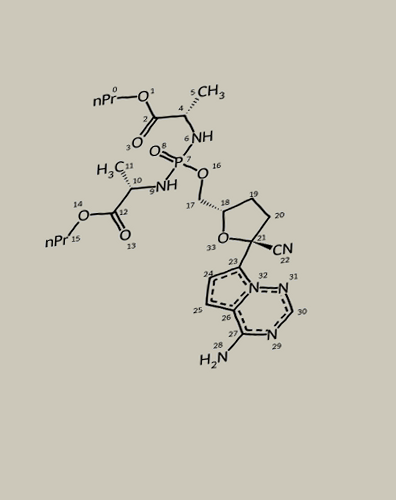 CCCOC(=O)[C@H](C)NP(=O)(N[C@@H](C)C(=O)OCCC)OC[C@@H]1CC[C@](C#N)(c2ccc3c(N)ncnn23)O1